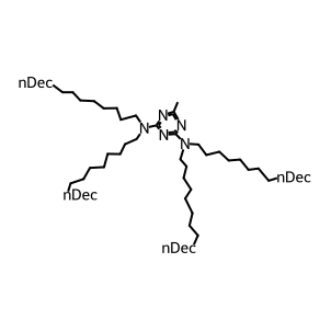 CCCCCCCCCCCCCCCCCCN(CCCCCCCCCCCCCCCCCC)c1nc(C)nc(N(CCCCCCCCCCCCCCCCCC)CCCCCCCCCCCCCCCCCC)n1